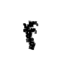 CCCN(OCc1ccc(N)cc1)C(=O)C1=Cc2ccc(C(=O)Nc3ccc(CO)nc3)cc2N=C(N)C1